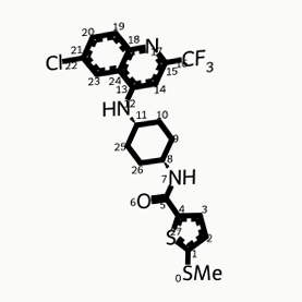 CSc1ccc(C(=O)N[C@H]2CC[C@@H](Nc3cc(C(F)(F)F)nc4ccc(Cl)cc34)CC2)s1